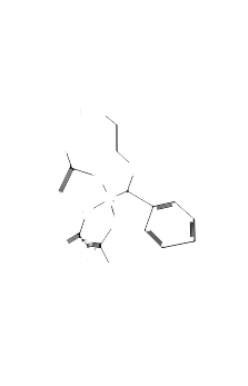 CCCOC(c1ccccc1)[Si](OC(C)=O)(OC(C)=O)OC(C)=O